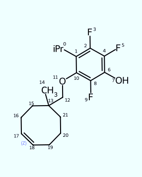 CC(C)c1c(F)c(F)c(O)c(F)c1OCC1(C)CC/C=C\CCC1